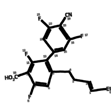 CCC=CCCc1cc(F)c(C(=O)O)c(F)c1-c1cc(F)c(C#N)c(F)c1